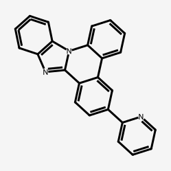 C1=C=Cc2c(nc3c4ccc(-c5ccccn5)cc4c4ccccc4n23)C=1